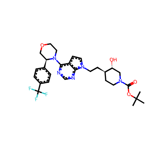 CC(C)(C)OC(=O)N1CC[C@@H](CCn2ccc3c(N4CCOC[C@@H]4c4ccc(C(F)(F)F)cc4)ncnc32)[C@H](O)C1